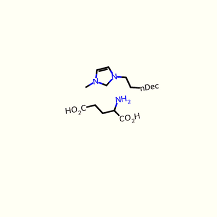 CCCCCCCCCCCCN1C=CN(C)C1.NC(CCC(=O)O)C(=O)O